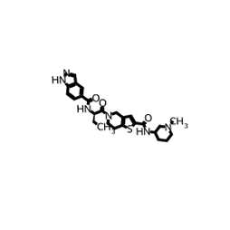 CC[C@@H](NC(=O)c1ccc2[nH]ncc2c1)C(=O)N1CCc2sc(C(=O)NC3CCCN(C)C3)cc2C1